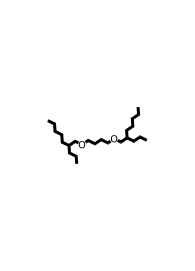 CCCCCC(CCC)COCCCCOCC(CCC)CCCCC